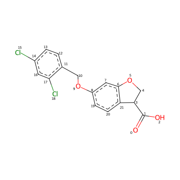 O=C(O)C1COc2cc(OCc3ccc(Cl)cc3Cl)ccc21